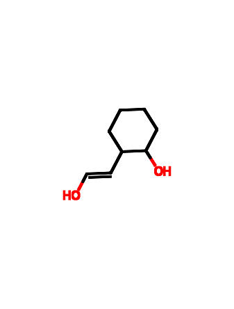 OC=CC1CCCCC1O